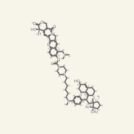 CC[C@@]1(O)C(=O)OCc2c1cc1n(c2=O)Cc2cc3c(CN(C)C)c(OC(=O)N4CCN(CCCCCCN(C)c5ccc(C(CC6(C)[C@H](C)CC[C@]6(OC(C)=O)C(C)=O)C6=C7CCC(O)C=C7CCC6)cc5)CC4)ccc3nc2-1